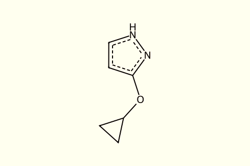 c1cc(OC2CC2)n[nH]1